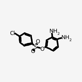 Nc1ccc(OS(=O)(=O)c2ccc(Cl)cc2)cc1N